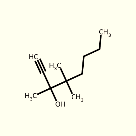 C#CC(C)(O)C(C)(C)CCCC